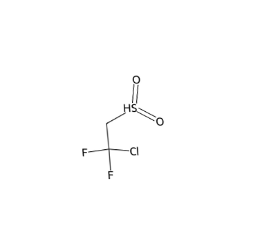 O=[SH](=O)CC(F)(F)Cl